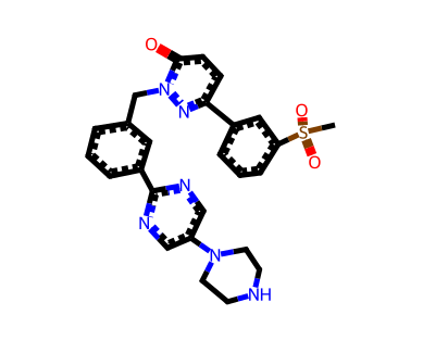 CS(=O)(=O)c1cccc(-c2ccc(=O)n(Cc3cccc(-c4ncc(N5CCNCC5)cn4)c3)n2)c1